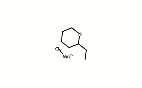 CCC1CCCCN1.[Mg+2][Cl]